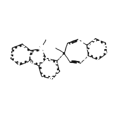 Cn1c2ccccc2c2cccc(C3(C)C=Cc4ccccc4C=C3)c21